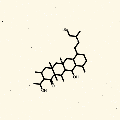 CC(CCC1CCC(C)C2C(O)C3C(C)C4(C)C(=O)C(C(C)O)C(C)CC4(C)CC3(C)CC12)CC(C)(C)C